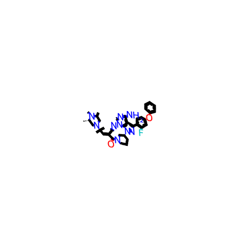 CC1CN(C(C)(C)C=C(C#N)C(=O)N2CCC[C@@H](n3nc(-c4ccc(Oc5ccccc5)cc4F)c4c(N)ncnc43)C2)C[C@H](C)N1C